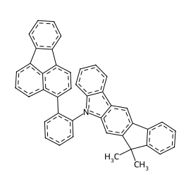 CC1(C)c2ccccc2-c2cc3c4ccccc4n(-c4ccccc4-c4ccc5c6c(cccc46)-c4ccccc4-5)c3cc21